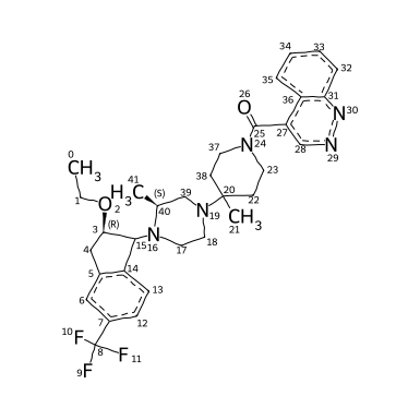 CCO[C@@H]1Cc2cc(C(F)(F)F)ccc2C1N1CCN(C2(C)CCN(C(=O)c3cnnc4ccccc34)CC2)C[C@@H]1C